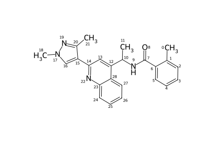 Cc1ccccc1C(=O)NC(C)c1cc(-c2cn(C)nc2C)nc2ccccc12